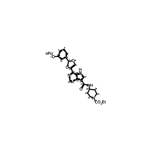 CCCOc1cccc(C2OC=C(c3ncnc4c(C(=O)NC5CCN(C(=O)OCC)CC5)c[nH]c34)O2)c1